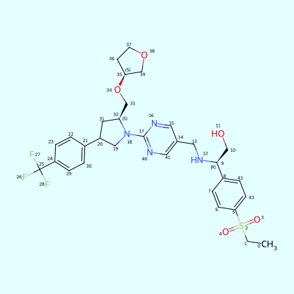 CCS(=O)(=O)c1ccc([C@H](CO)NCc2cnc(N3CC(c4ccc(C(F)(F)F)cc4)C[C@H]3CO[C@H]3CCOC3)nc2)cc1